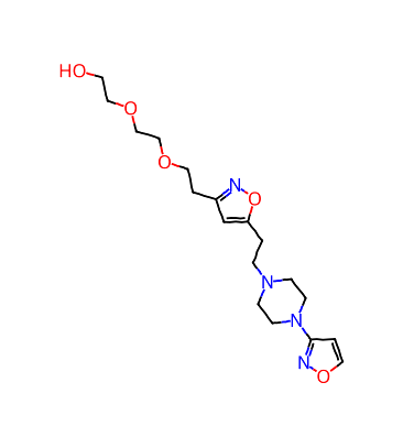 OCCOCCOCCc1cc(CCN2CCN(c3ccon3)CC2)on1